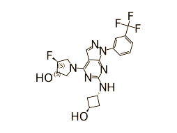 O[C@H]1CN(c2nc(N[C@H]3C[C@H](O)C3)nc3c2cnn3-c2cccc(C(F)(F)F)c2)C[C@@H]1F